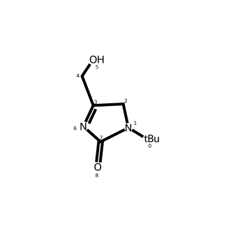 CC(C)(C)N1CC(CO)=NC1=O